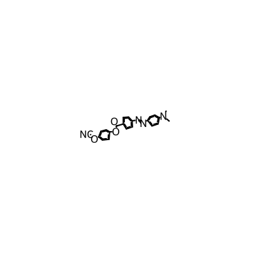 CN(C)c1ccc(N=Nc2ccc(C(=O)Oc3ccc(OC#N)cc3)cc2)cc1